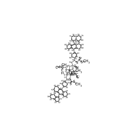 [C-]#[N+]C(C)(C)CC(CC(C#N)CC(SC(=S)SC)c1ccc(-c2c3ccccc3c(-c3cccc4ccccc34)c3ccccc23)cc1)C(C)(CC(C#N)CC(SC(=S)SC)c1ccc(-c2c3ccccc3c(-c3cccc4ccccc34)c3ccccc23)cc1)CC(C)(C)[N+]#[C-]